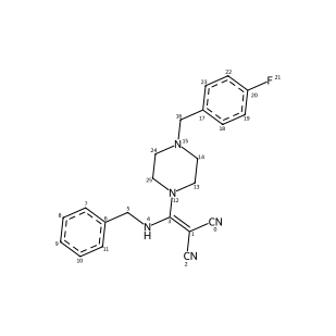 N#CC(C#N)=C(NCc1ccccc1)N1CCN(Cc2ccc(F)cc2)CC1